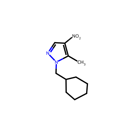 Cc1c([N+](=O)[O-])cnn1CC1CCCCC1